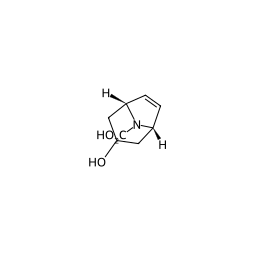 O=C(O)N1[C@@H]2C=C[C@H]1CC(O)C2